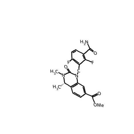 COC(=O)c1ccc2c(c1)N(Cc1c(F)ccc(C(N)=O)c1F)C(=O)N(C)[C@H]2C